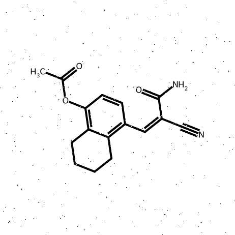 CC(=O)Oc1ccc(C=C(C#N)C(N)=O)c2c1CCCC2